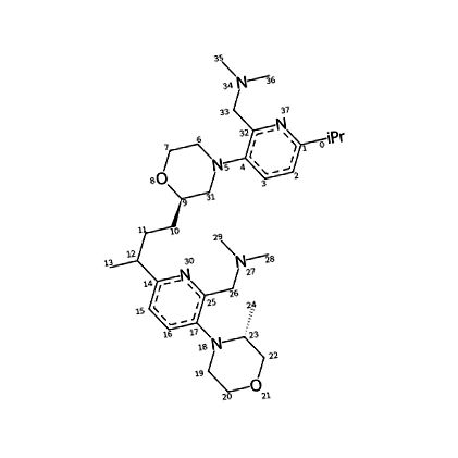 CC(C)c1ccc(N2CCO[C@H](CCC(C)c3ccc(N4CCOC[C@H]4C)c(CN(C)C)n3)C2)c(CN(C)C)n1